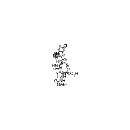 COC(=O)Nc1ccc2c(c1)N[C@@H](C(=O)O)CCCC[C@H](NC(=O)/C=C/c1cc(Cl)ccc1-n1cnnn1)c1nc-2c[nH]1